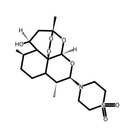 C[C@@H]1CCC2[C@@H](C)[C@H](N3CCS(=O)(=O)CC3)O[C@@H]3O[C@@]4(C)C[C@H](O)C1[C@@]23OO4